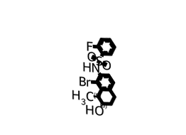 C[C@H]1c2c(ccc(NS(=O)(=O)c3ccccc3F)c2Br)CC[C@@H]1O